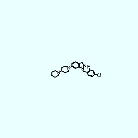 Fc1cc(Cl)ccc1Cn1ncc2ccc(N3CCC(N4CCCCC4)CC3)cc21